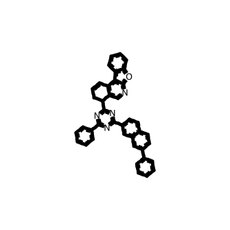 C1=Cc2c(cnc3oc4ccccc4c23)C(c2nc(-c3ccccc3)nc(-c3ccc4ccc(-c5ccccc5)cc4c3)n2)C1